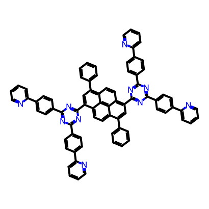 c1ccc(-c2cc(-c3nc(-c4ccc(-c5ccccn5)cc4)nc(-c4ccc(-c5ccccn5)cc4)n3)c3ccc4c(-c5ccccc5)cc(-c5nc(-c6ccc(-c7ccccn7)cc6)nc(-c6ccc(-c7ccccn7)cc6)n5)c5ccc2c3c45)cc1